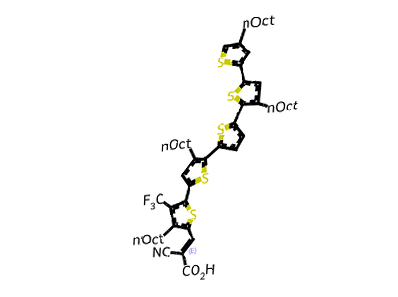 CCCCCCCCc1csc(-c2cc(CCCCCCCC)c(-c3ccc(-c4sc(-c5sc(/C=C(\C#N)C(=O)O)c(CCCCCCCC)c5C(F)(F)F)cc4CCCCCCCC)s3)s2)c1